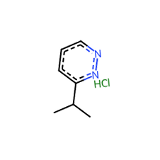 CC(C)c1cccnn1.Cl